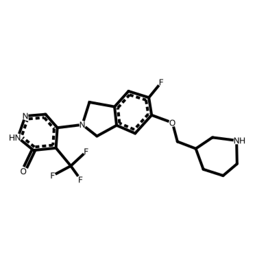 O=c1[nH]ncc(N2Cc3cc(F)c(OCC4CCCNC4)cc3C2)c1C(F)(F)F